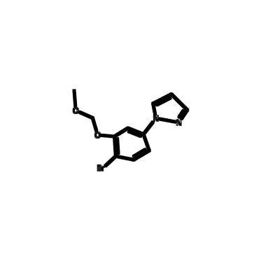 COCOc1cc(-n2cccn2)ccc1Br